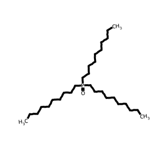 CCCCCCCCCCP(=O)(CCCCCCCCCC)CCCCCCCCCC